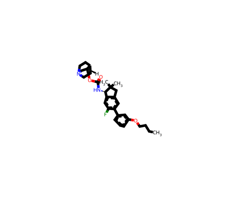 CCCCOc1cccc(-c2cc3c(cc2F)[C@H](NC(=O)O[C@@H]2CN4CCC2CC4)C(C)(C)C3)c1